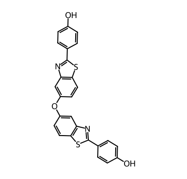 Oc1ccc(-c2nc3cc(Oc4ccc5sc(-c6ccc(O)cc6)nc5c4)ccc3s2)cc1